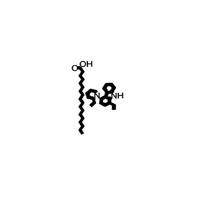 C=Cc1cccc2c1[nH]c1ccccc12.C=Cc1ccccn1.CCCCCCCCCCCCCCCCCC(=O)O